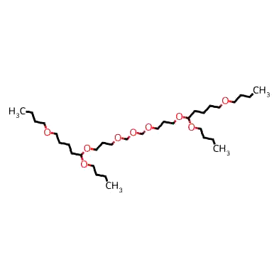 CCCCOCCCCC(OCCCC)OCCCOCOCOCCCOC(CCCCOCCCC)OCCCC